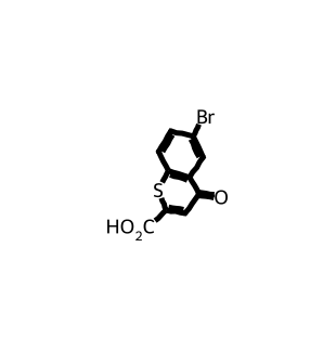 O=C(O)c1cc(=O)c2cc(Br)ccc2s1